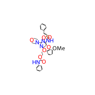 COc1ccccc1Oc1c(NS(=O)(=O)C=Cc2ccccc2)nc(N2CCOCC2)nc1OCCOC(=O)Nc1ccccc1